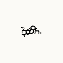 COC(=O)c1cc2c(cc1C(C)C)CCC1C(C)(C(=O)CO)CCCC21C